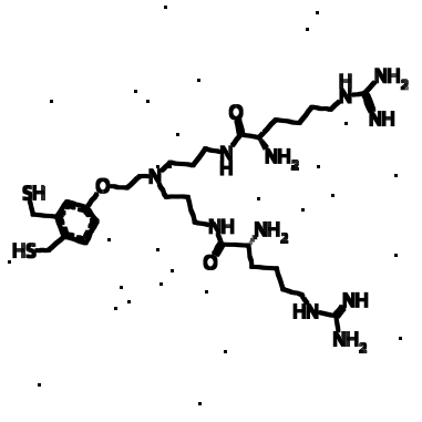 N=C(N)NCCCC[C@@H](N)C(=O)NCCCN(CCCNC(=O)[C@H](N)CCCCNC(=N)N)CCOc1ccc(CS)c(CS)c1